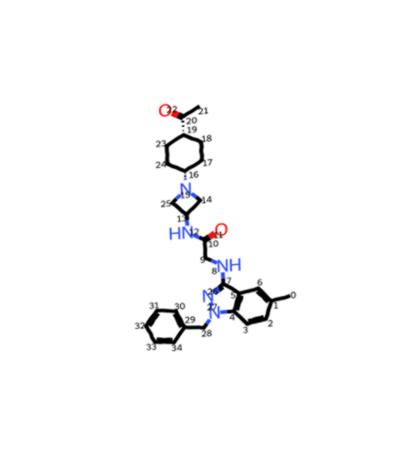 Cc1ccc2c(c1)c(NCC(=O)NC1CN([C@H]3CC[C@@H](C(C)=O)CC3)C1)nn2Cc1ccccc1